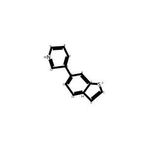 [c]1csc2cc(-c3cccnc3)ccc12